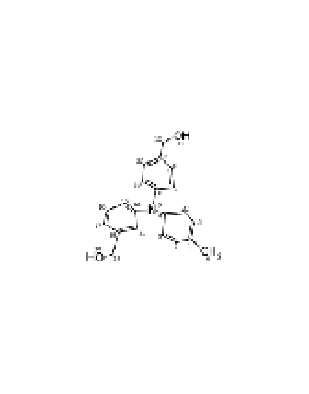 Cc1ccc(N(c2ccc(CO)cc2)c2cccc(CO)c2)cc1